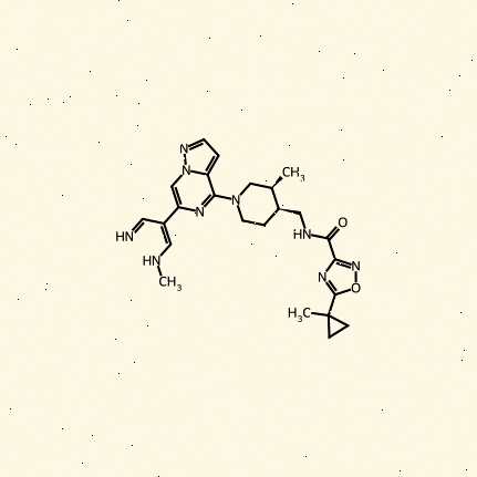 CN/C=C(\C=N)c1cn2nccc2c(N2CC[C@H](CNC(=O)c3noc(C4(C)CC4)n3)[C@H](C)C2)n1